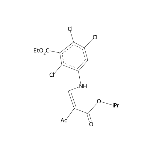 CCOC(=O)c1c(Cl)c(Cl)cc(NC=C(C(C)=O)C(=O)OC(C)C)c1Cl